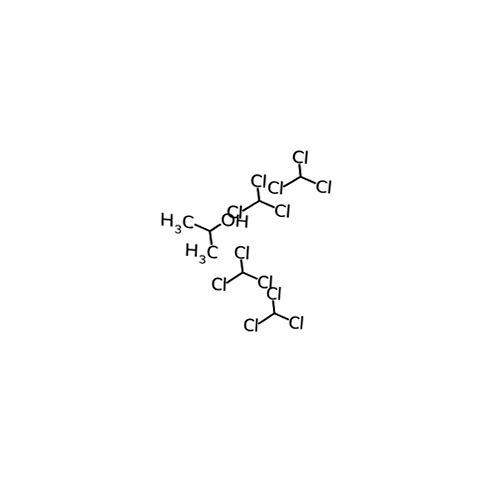 CC(C)O.ClC(Cl)Cl.ClC(Cl)Cl.ClC(Cl)Cl.ClC(Cl)Cl